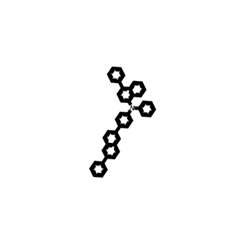 c1ccc(-c2ccc3cc(-c4ccc(N(c5ccccc5)c5ccc(-c6ccccc6)c6ccccc56)cc4)ccc3c2)cc1